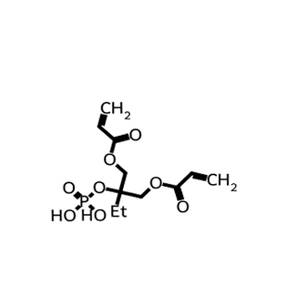 C=CC(=O)OCC(CC)(COC(=O)C=C)OP(=O)(O)O